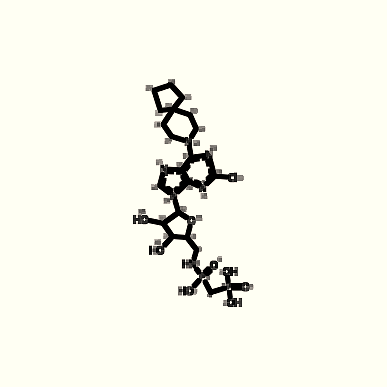 O=P(O)(O)CP(=O)(O)NCC1OC(n2cnc3c(N4CCC5(CCCC5)CC4)nc(Cl)nc32)C(O)C1O